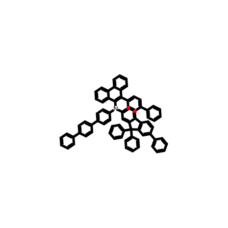 c1ccc(-c2ccc(-c3ccc(N(c4ccc5c(c4)C(c4ccccc4)(c4ccccc4)c4cc(-c6ccccc6)ccc4-5)c4c(-c5ccc(-c6ccccc6)cc5)c5ccccc5c5ccccc45)cc3)cc2)cc1